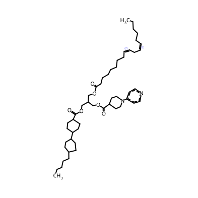 CCCCC/C=C\C/C=C\CCCCCCCC(=O)OCC(COC(=O)C1CCC(C2CCC(CCCCC)CC2)CC1)COC(=O)C1CCN(c2ccncc2)CC1